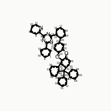 c1ccc(-c2nc(-c3ccccn3)nc(-c3ccccc3-c3ccc4c(c3)Oc3ccc5c(c3O4)-c3ccccc3C5(c3ccccc3)c3ccccc3)n2)cc1